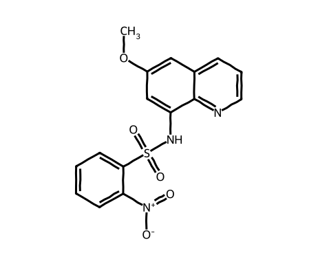 COc1cc(NS(=O)(=O)c2ccccc2[N+](=O)[O-])c2ncccc2c1